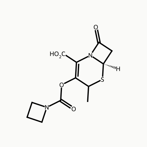 CC1S[C@@H]2CC(=O)N2C(C(=O)O)=C1OC(=O)N1CCC1